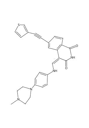 CN1CCN(c2ccc(N/C=C3\C(=O)NC(=O)c4ccc(C#Cc5ccsc5)cc43)cc2)CC1